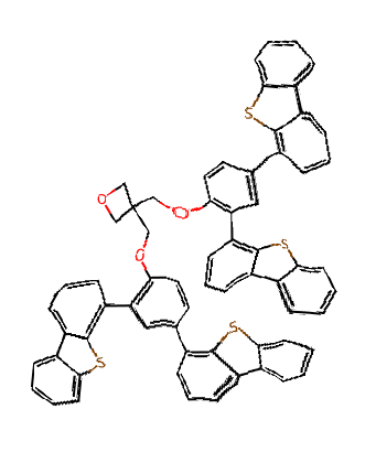 c1ccc2c(c1)sc1c(-c3ccc(OCC4(COc5ccc(-c6cccc7c6sc6ccccc67)cc5-c5cccc6c5sc5ccccc56)COC4)c(-c4cccc5c4sc4ccccc45)c3)cccc12